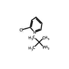 CC(C)(C)P.Clc1ccccn1